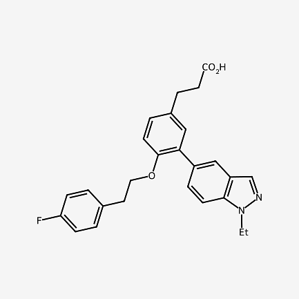 CCn1ncc2cc(-c3cc(CCC(=O)O)ccc3OCCc3ccc(F)cc3)ccc21